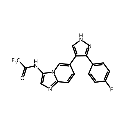 O=C(Nc1cnc2ccc(-c3c[nH]nc3-c3ccc(F)cc3)cn12)C(F)(F)F